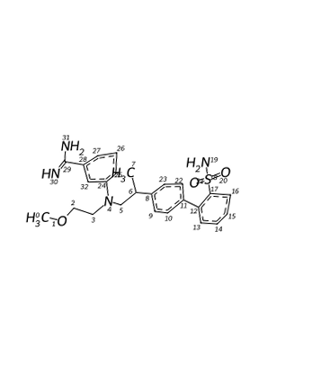 COCCN(CC(C)c1ccc(-c2ccccc2S(N)(=O)=O)cc1)c1cccc(C(=N)N)c1